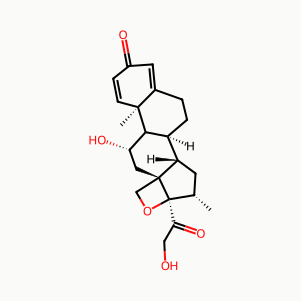 C[C@H]1C[C@H]2[C@@H]3CCC4=CC(=O)C=C[C@]4(C)C3[C@@H](O)C[C@@]23CO[C@]13C(=O)CO